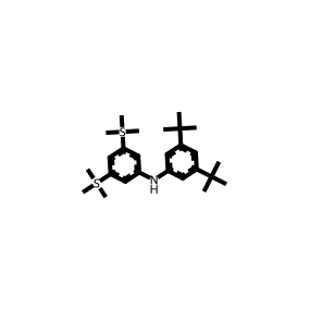 CC(C)(C)c1cc(Nc2cc(S(C)(C)C)cc(S(C)(C)C)c2)cc(C(C)(C)C)c1